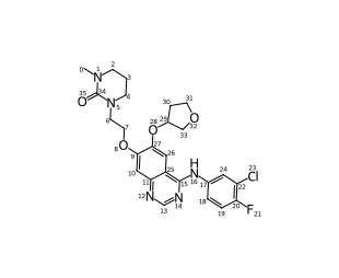 CN1CCCN(CCOc2cc3ncnc(Nc4ccc(F)c(Cl)c4)c3cc2OC2CCOC2)C1=O